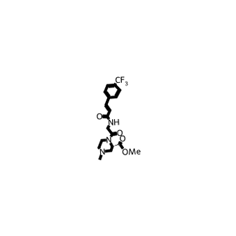 COC(=O)[C@@H]1CN(C)CCN1C(=O)CNC(=O)/C=C/c1ccc(C(F)(F)F)cc1